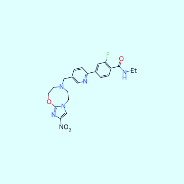 CCNC(=O)c1ccc(-c2ccc(CN3CCOc4nc([N+](=O)[O-])cn4CC3)cn2)cc1F